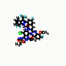 COc1c(F)ccc2c(=O)n(-c3ccc(Cl)c4c(NS(C)(=O)=O)nn(C)c34)c([C@H](Cc3cc(F)cc(F)c3)NC(=O)Cn3nc(C(F)F)c4c3C(F)(F)[C@@H]3C[C@H]43)nc12